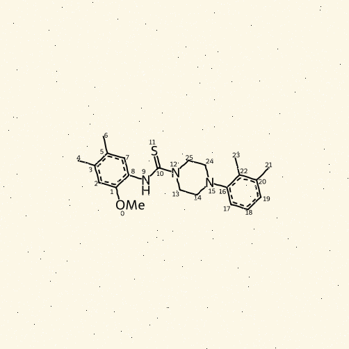 COc1cc(C)c(C)cc1NC(=S)N1CCN(c2cccc(C)c2C)CC1